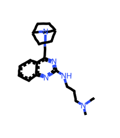 CN(C)CCCNc1nc(N2CC3CCC(CC3)C2)c2ccccc2n1